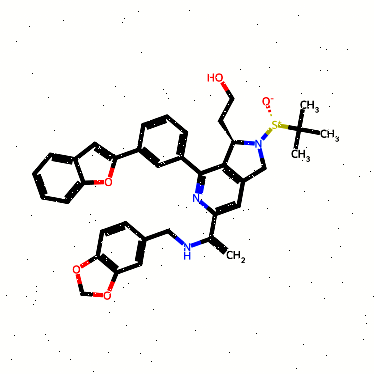 C=C(NCc1ccc2c(c1)OCO2)c1cc2c(c(-c3cccc(-c4cc5ccccc5o4)c3)n1)[C@@H](CCO)N([S@+]([O-])C(C)(C)C)C2